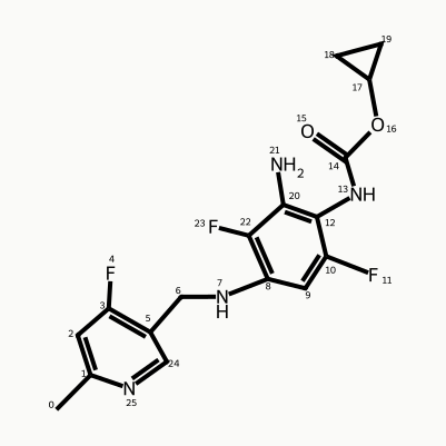 Cc1cc(F)c(CNc2cc(F)c(NC(=O)OC3CC3)c(N)c2F)cn1